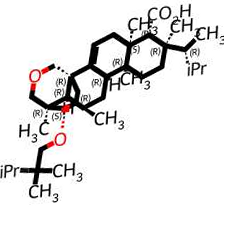 CC(C)[C@@H](C)[C@@]1(C)CC[C@]2(C)[C@H]3CC[C@@H]4[C@@]5(COC[C@]4(C)[C@@H](OCC(C)(C)C(C)C)[C@H](C)C5)C3=CC[C@@]2(C)[C@@H]1C(=O)O